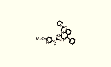 COc1ccc(NC(=O)NC2C=C(c3ccccc3)c3ccccc3N(CC(=O)N3CCCC3)C2=O)cn1